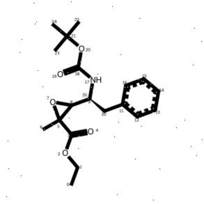 CCOC(=O)C1(C)OC1[C@H](Cc1ccccc1)NC(=O)OC(C)(C)C